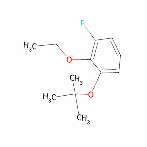 CCOc1c(F)cccc1OC(C)(C)C